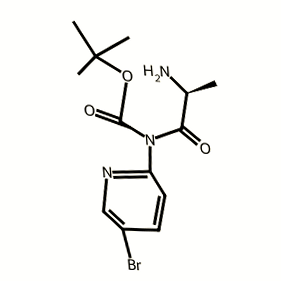 C[C@H](N)C(=O)N(C(=O)OC(C)(C)C)c1ccc(Br)cn1